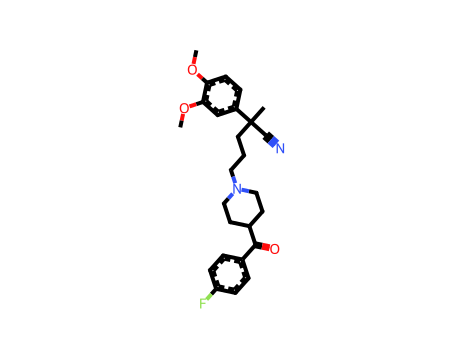 COc1ccc(C(C)(C#N)CCCN2CCC(C(=O)c3ccc(F)cc3)CC2)cc1OC